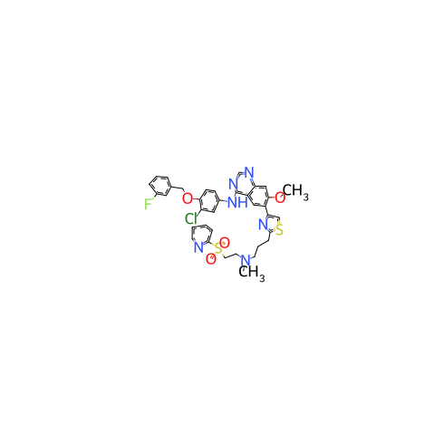 COc1cc2ncnc(Nc3ccc(OCc4cccc(F)c4)c(Cl)c3)c2cc1-c1csc(CCCN(C)CCS(=O)(=O)c2ccccn2)n1